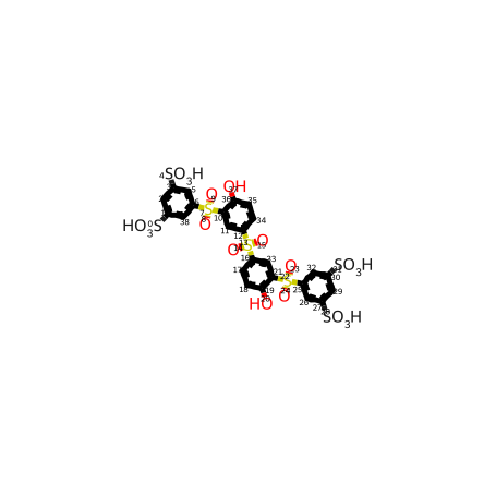 O=S(=O)(O)c1cc(S(=O)(=O)O)cc(S(=O)(=O)c2cc(S(=O)(=O)c3ccc(O)c(S(=O)(=O)c4cc(S(=O)(=O)O)cc(S(=O)(=O)O)c4)c3)ccc2O)c1